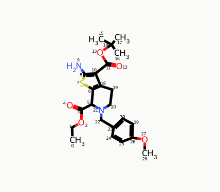 CCOC(=O)C1c2sc(N)c(C(=O)OC(C)(C)C)c2CCN1Cc1ccc(OC)cc1